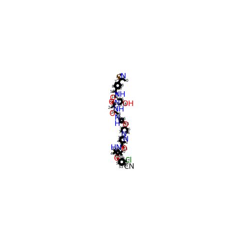 Cc1ncsc1-c1ccc([C@H](C)NC(=O)[C@@H]2C[C@@H](O)CN2C(=O)[C@H](C)NC(=O)CN[C@H]2C[C@H](OC3CCN(c4ccc(C(=O)N[C@H]5C(C)(C)[C@H](Oc6ccc(C#N)c(Cl)c6)C5(C)C)cn4)CC3)C2)cc1